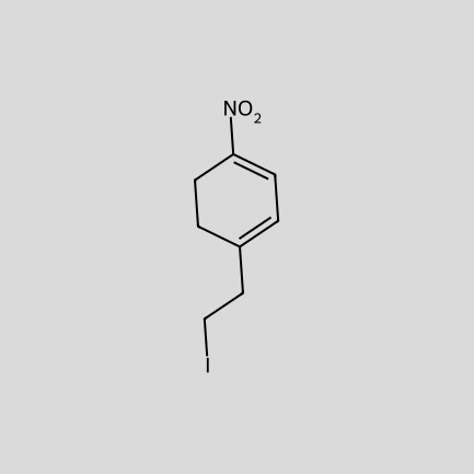 O=[N+]([O-])C1=CC=C(CCI)CC1